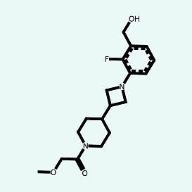 COCC(=O)N1CCC(C2CN(c3cccc(CO)c3F)C2)CC1